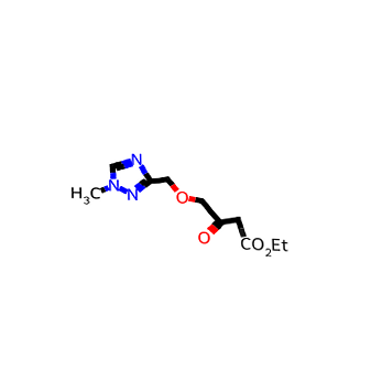 CCOC(=O)CC(=O)COCc1ncn(C)n1